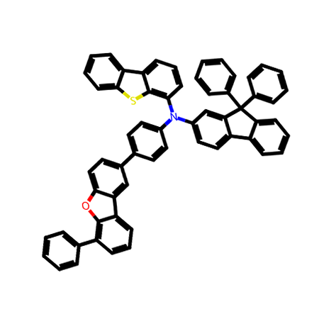 c1ccc(-c2cccc3c2oc2ccc(-c4ccc(N(c5ccc6c(c5)C(c5ccccc5)(c5ccccc5)c5ccccc5-6)c5cccc6c5sc5ccccc56)cc4)cc23)cc1